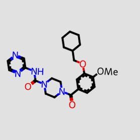 COc1ccc(C(=O)N2CCN(C(=O)Nc3cnccn3)CC2)cc1OCC1CCCCC1